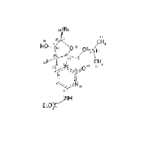 CCOC(=O)Nc1ccn([C@]2(CO[SiH](C)C)O[C@H](C(C)(C)C)[C@@H](O)C2(F)F)c(=O)n1